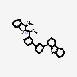 C=N/C(=C1/Oc2ccccc2/C1=N/C)c1cccc(-c2cccc(-c3cccc4c3sc3ccccc34)c2)c1